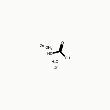 O.O.O=C(O)O.[Zn].[Zn]